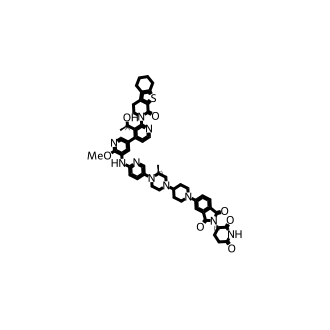 COc1ncc(-c2ccnc(N3CCc4c(sc5c4CCCC5)C3=O)c2[C@@H](C)O)cc1Nc1ccc(N2CCN(C3CCN(c4ccc5c(c4)C(=O)N([C@H]4CCC(=O)NC4=O)C5=O)CC3)C[C@@H]2C)cn1